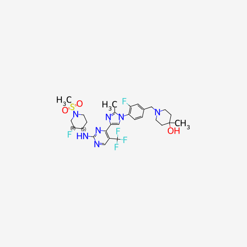 Cc1nc(-c2nc(N[C@H]3CCN(S(C)(=O)=O)C[C@H]3F)ncc2C(F)(F)F)cn1-c1ccc(CN2CCC(C)(O)CC2)cc1F